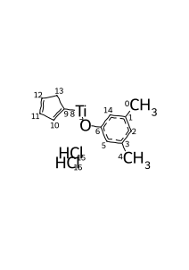 Cc1cc(C)cc([O][Ti][C]2=CC=CC2)c1.Cl.Cl